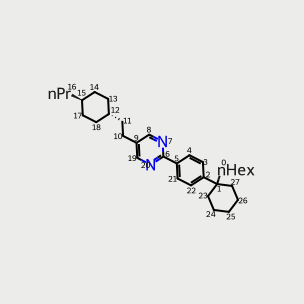 CCCCCCC1(c2ccc(-c3ncc(CC[C@H]4CC[C@H](CCC)CC4)cn3)cc2)CCCCC1